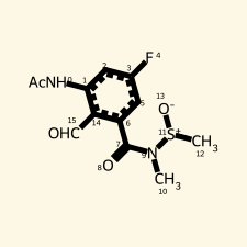 CC(=O)Nc1cc(F)cc(C(=O)N(C)[S+](C)[O-])c1C=O